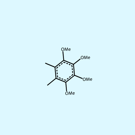 COc1c(C)c(C)c(OC)c(OC)c1OC